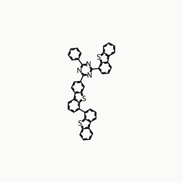 c1ccc(-c2nc(-c3ccc4c(c3)sc3c(-c5cccc6c5sc5ccccc56)cccc34)nc(-c3cccc4c3sc3ccccc34)n2)cc1